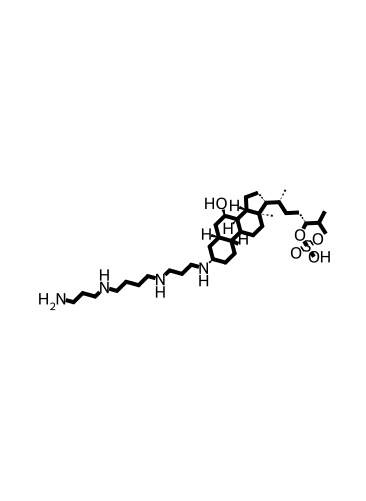 CC(C)[C@@H](CC[C@@H](C)[C@H]1CC[C@H]2[C@@H]3[C@H](O)C[C@H]4C[C@@H](NCCCNCCCCNCCCN)CCC4(C)[C@H]3CC[C@]12C)OS(=O)(=O)O